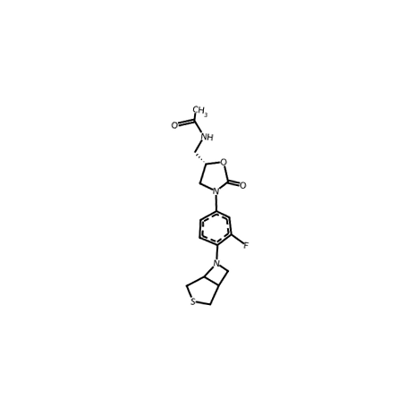 CC(=O)NC[C@H]1CN(c2ccc(N3CC4CSCC43)c(F)c2)C(=O)O1